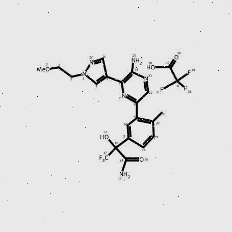 COCCn1cc(-c2nc(-c3cc(C(O)(C(N)=O)C(F)(F)F)ccc3C)cnc2N)cn1.O=C(O)C(F)(F)F